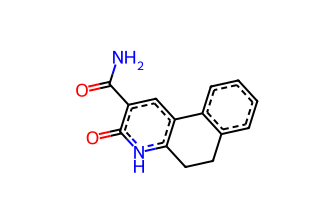 NC(=O)c1cc2c([nH]c1=O)CCc1ccccc1-2